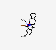 COc1ccc2c(c1)C1(NC(=S)N(C)C1=O)C1(CCc3ccccc3CC1)C2